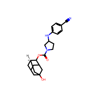 N#Cc1ccc(NC2CCN(C(=O)OC3C4CC5C[C@@H]3CC(O)(C5)C4)C2)cc1